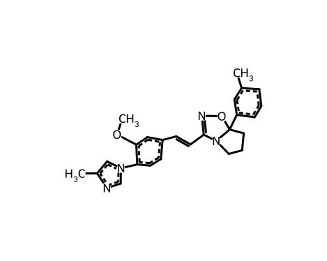 COc1cc(/C=C/C2=NOC3(c4cccc(C)c4)CCCN23)ccc1-n1cnc(C)c1